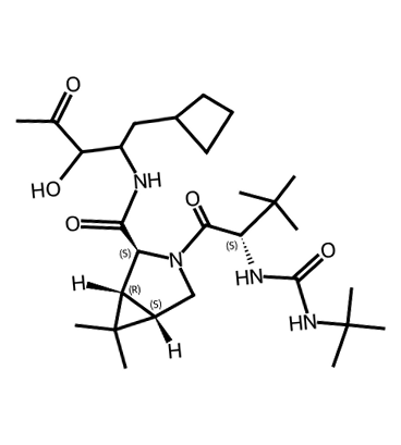 CC(=O)C(O)C(CC1CCC1)NC(=O)[C@@H]1[C@@H]2[C@H](CN1C(=O)[C@@H](NC(=O)NC(C)(C)C)C(C)(C)C)C2(C)C